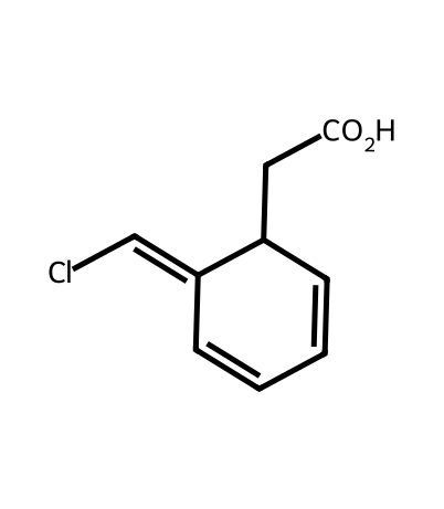 O=C(O)CC1C=CC=CC1=CCl